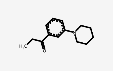 CCC(=O)c1cccc(N2CCCCC2)c1